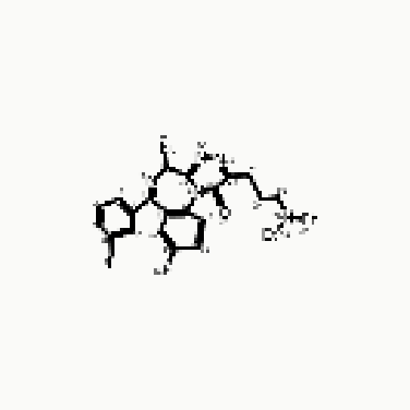 CCC1N=C(c2cccc(F)c2)c2cc(F)ccc2-n2c1nnc(CCCN(CC)CC)c2=O